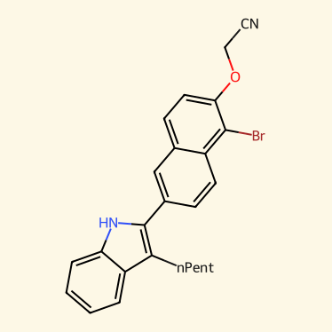 CCCCCc1c(-c2ccc3c(Br)c(OCC#N)ccc3c2)[nH]c2ccccc12